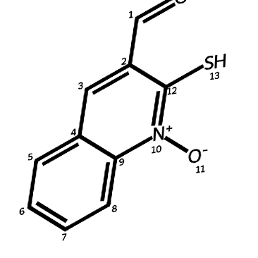 O=Cc1cc2ccccc2[n+]([O-])c1S